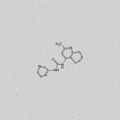 Cc1cc(NC(=O)Nc2cnccn2)c2ccccc2n1